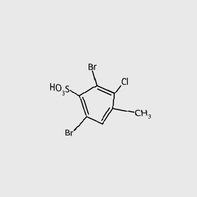 Cc1cc(Br)c(S(=O)(=O)O)c(Br)c1Cl